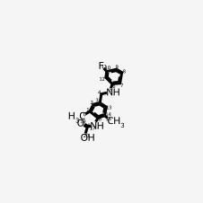 Cc1cc(CNc2cccc(F)c2)cc(C)c1NC(=O)O